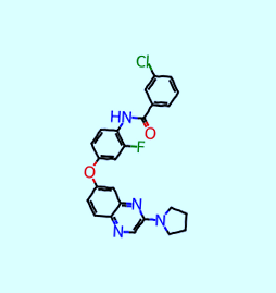 O=C(Nc1ccc(Oc2ccc3ncc(N4CCCC4)nc3c2)cc1F)c1cccc(Cl)c1